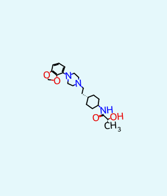 C[C@@H](O)C(=O)N[C@H]1CC[C@H](CCN2CCN(c3cccc4c3OCO4)CC2)CC1